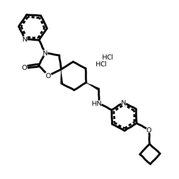 Cl.Cl.O=C1O[C@]2(CC[C@H](CNc3ccc(OC4CCC4)cn3)CC2)CN1c1ccccn1